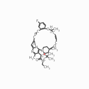 CCOC(=O)[C@@H](OC(C)(C)C)c1c(C)nc2cc3nn2c1N1CCC(C)(CC1)OCC=CC[C@H](C)Oc1ccc(F)cc1COC3